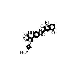 CCn1c2c(cc(C(=O)Nc3ccc(-c4cn([C@H]5C[C@@H](CO)C5)c5ncnc(N)c45)cc3)c1=O)C(=O)CCC2